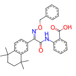 CC1(C)CCC(C)(C)c2cc(C(=NOCc3ccccc3)C(=O)Nc3ccccc3C(=O)O)ccc21